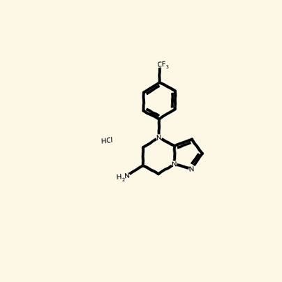 Cl.NC1CN(c2ccc(C(F)(F)F)cc2)c2ccnn2C1